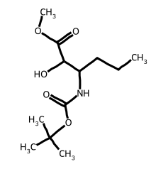 CCCC(NC(=O)OC(C)(C)C)C(O)C(=O)OC